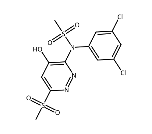 CS(=O)(=O)c1cc(O)c(N(c2cc(Cl)cc(Cl)c2)S(C)(=O)=O)nn1